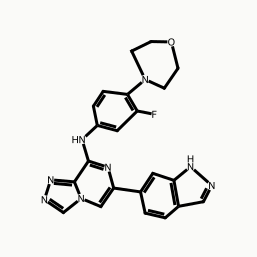 Fc1cc(Nc2nc(-c3ccc4cn[nH]c4c3)cn3cnnc23)ccc1N1CCOCC1